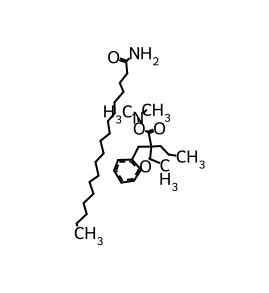 CCCC(Cc1ccccc1)(C(C)=O)C(=O)ON(C)C.CCCCCCCCCCCCCCCCCC(N)=O